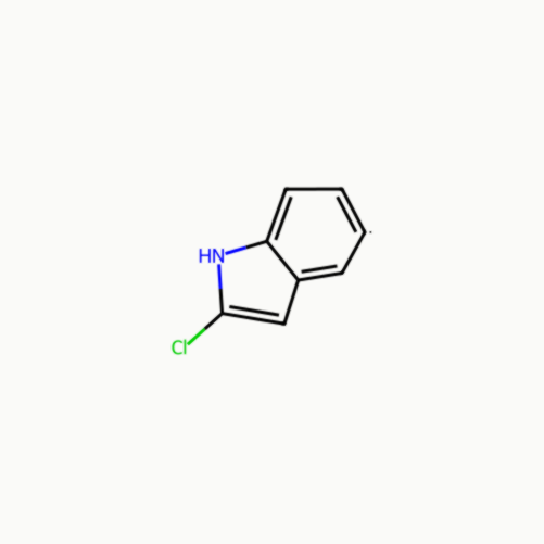 Clc1cc2c[c]ccc2[nH]1